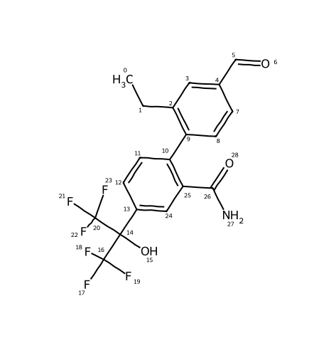 CCc1cc(C=O)ccc1-c1ccc(C(O)(C(F)(F)F)C(F)(F)F)cc1C(N)=O